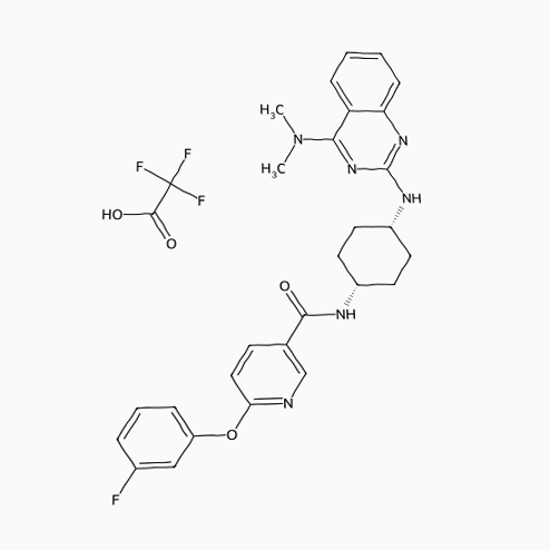 CN(C)c1nc(N[C@H]2CC[C@@H](NC(=O)c3ccc(Oc4cccc(F)c4)nc3)CC2)nc2ccccc12.O=C(O)C(F)(F)F